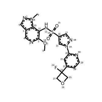 COc1ncc2cnn(C)c2c1NS(=O)(=O)c1cnn(-c2cc(C3(F)COC3)ccn2)c1